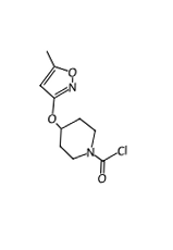 Cc1cc(OC2CCN(C(=O)Cl)CC2)no1